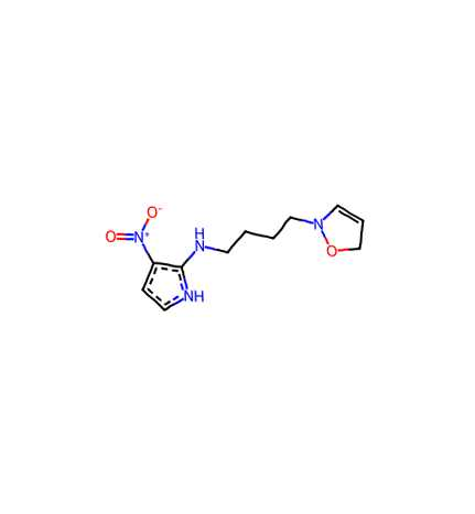 O=[N+]([O-])c1cc[nH]c1NCCCCN1C=CCO1